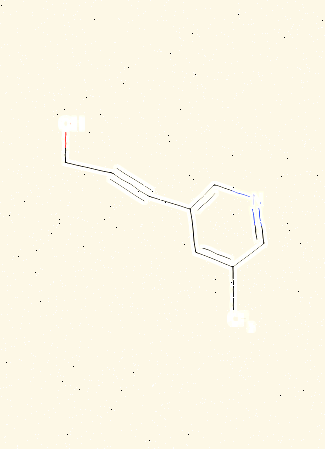 OCC#Cc1cncc(C(F)(F)F)c1